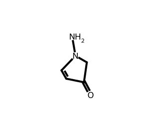 NN1C=CC(=O)C1